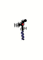 CC/C=C\C/C=C\C/C=C\C/C=C\C/C=C\C/C=C\CCC(=O)NCCSSC(C)(C)[C@@H](CNC(CO)CO)NC(=O)c1cc(-c2ccccc2)on1